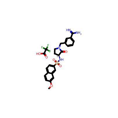 COc1ccc2ccc(S(=O)(=O)N[C@H]3CCN(Cc4cccc(C(=N)N)c4)C3=O)cc2c1.O=C(O)C(F)(F)F